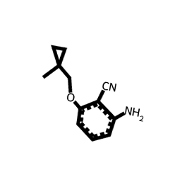 CC1(COc2cccc(N)c2C#N)CC1